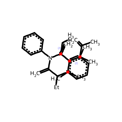 C=C(C)/C(C)=C(\N=C/C)N(C)C(CC)C(=C)N(C(=C)c1c(C)cccc1C)c1ccccc1